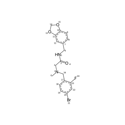 CN(CC(=O)NCc1ccc2c(c1)OCO2)Cc1ccc(Br)cc1F